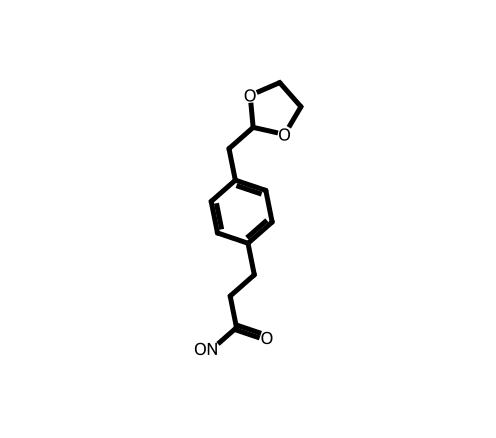 O=NC(=O)CCc1ccc(CC2OCCO2)cc1